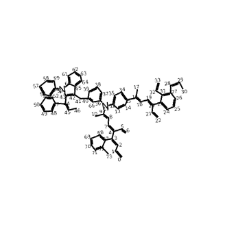 C=C/C=C(/C(C=C)=C/C=C(\C)N(c1ccc(/C(C)=C/C=C(\C=C)c2cccc(/C=C\C)c2C=C)cc1)c1cccc(Cc2c(/C(=C\C)c3ccccc3)n(-c3ccccc3)c3ccccc23)c1)c1ccccc1C